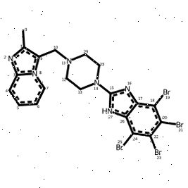 Cc1nc2ccccn2c1CN1CCN(c2nc3c(Br)c(Br)c(Br)c(Br)c3[nH]2)CC1